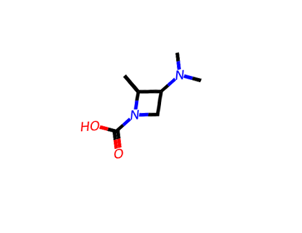 CC1C(N(C)C)CN1C(=O)O